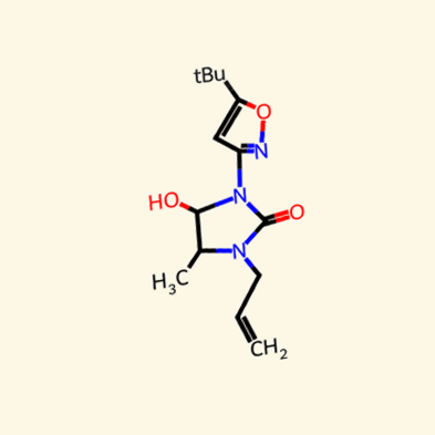 C=CCN1C(=O)N(c2cc(C(C)(C)C)on2)C(O)C1C